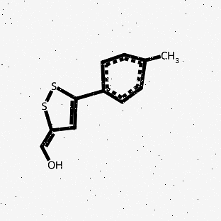 Cc1ccc(C2=C/C(=C\O)SS2)cc1